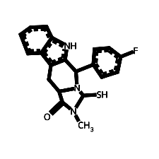 CN1C(=O)C2Cc3c([nH]c4ccccc34)C(c3ccc(F)cc3)N2C1S